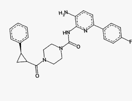 Nc1ccc(-c2ccc(F)cc2)nc1NC(=O)N1CCN(C(=O)C2C[C@H]2c2ccccc2)CC1